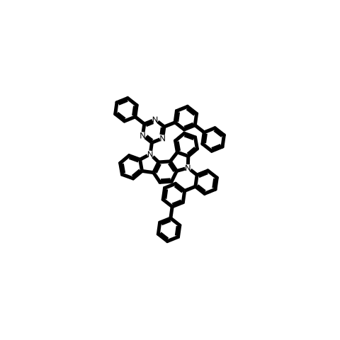 c1ccc(-c2cccc(-c3nc(-c4ccccc4)nc(-n4c5ccccc5c5ccc6c(c7ccccc7n6-c6ccccc6-c6cccc(-c7ccccc7)c6)c54)n3)c2)cc1